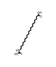 O=C(O)CCCCCCCCCCCCCCCCCCNC(=S)S